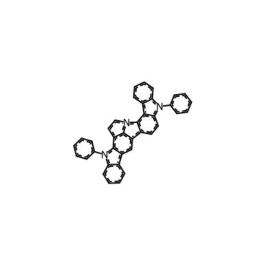 c1ccc(-n2c3ccccc3c3c2ccc2c4cc5c6ccccc6n(-c6ccccc6)c5c5ccn(c45)c23)cc1